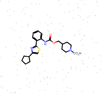 O=C(Nc1ccccc1-c1nc(C2CCCC2)cs1)OCC1CCN(C(=O)O)CC1